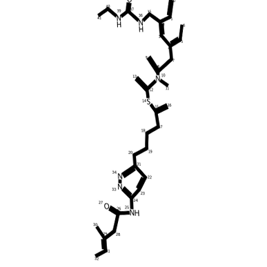 C=C/C(=C\C(=C/C)CC(=C)N(C)C(=C)SC(=C)CCCCc1ccc(NC(=O)C/C(C)=C/C)nn1)CNC(=O)NCC